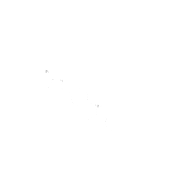 CNC1CSC(C2CCC(NC(=O)OC(C)C)CC2)=N1